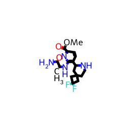 COC(=O)c1ccc(C2CC3(CCN2)CC(F)(F)C3)c(NC(C)C(N)=O)n1